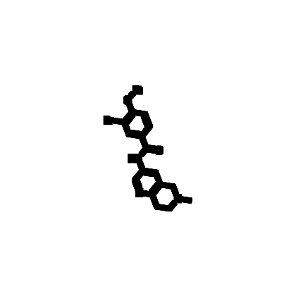 CCOc1ccc(C(=O)Nc2cnc3c(c2)CN(C)CC3)cc1Br